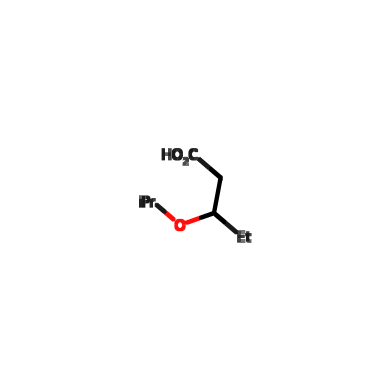 CCC(CC(=O)O)OC(C)C